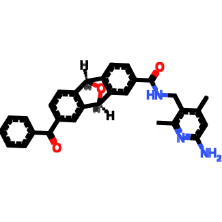 Cc1cc(N)nc(C)c1CNC(=O)c1ccc2c(c1)[C@@H]1O[C@H]2c2ccc(C(=O)c3ccccc3)cc21